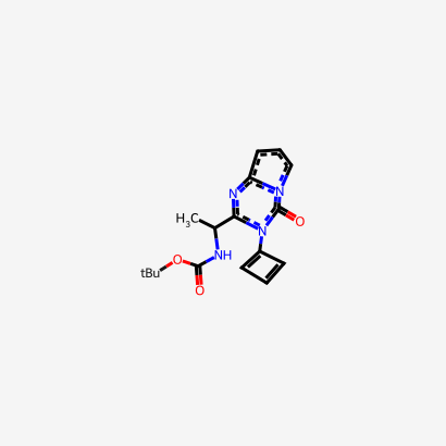 CC(NC(=O)OC(C)(C)C)c1nc2cccn2c(=O)n1C1=CC=C1